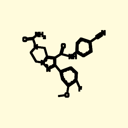 COc1cc(-c2nn3c(c2C(=O)Nc2ccc(C#N)cc2)CN(C(N)=O)CC3)ccc1F